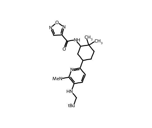 CNc1nc(C2CCC(C)(C)C(NC(=O)c3cnon3)C2)ccc1NCC(C)(C)C